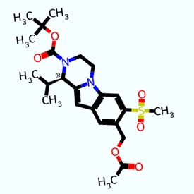 CC(=O)OCc1cc2cc3n(c2cc1S(C)(=O)=O)CCN(C(=O)OC(C)(C)C)[C@@H]3C(C)C